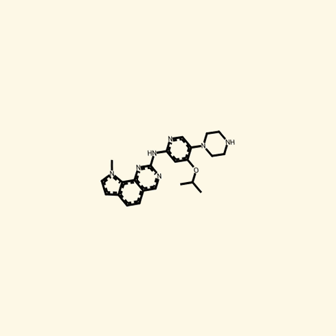 CC(C)Oc1cc(Nc2ncc3ccc4ccn(C)c4c3n2)ncc1N1CCNCC1